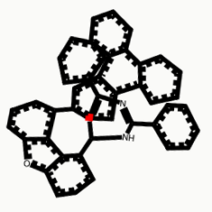 c1ccc(C2=NC(c3cccc4oc5cccc(-c6ccc7c8ccccc8c8ccccc8c7c6)c5c34)NC(c3ccccc3)=N2)cc1